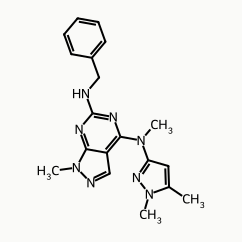 Cc1cc(N(C)c2nc(NCc3ccccc3)nc3c2cnn3C)nn1C